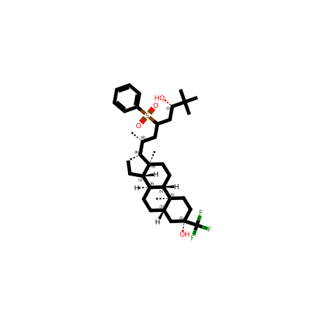 C[C@H](CC(C[C@H](O)C(C)(C)C)S(=O)(=O)c1ccccc1)[C@H]1CC[C@H]2[C@@H]3CC[C@H]4C[C@](O)(C(F)(F)F)CC[C@]4(C)[C@H]3CC[C@]12C